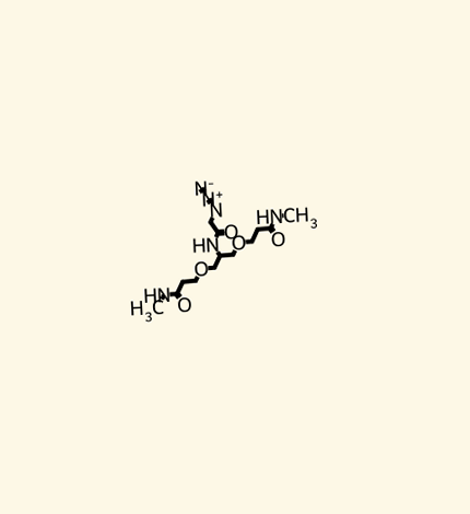 CNC(=O)CCOCC(COCCC(=O)NC)NC(=O)CN=[N+]=[N-]